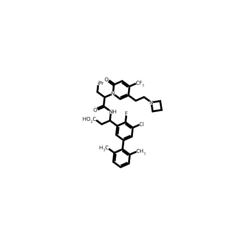 Cc1cccc(C)c1-c1cc(Cl)c(F)c(C(CC(=O)O)NC(=O)C(CC(C)C)n2cc(CCN3CCC3)c(C(F)(F)F)cc2=O)c1